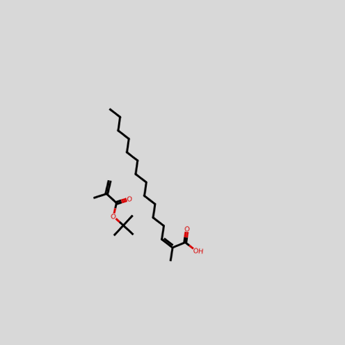 C=C(C)C(=O)OC(C)(C)C.CCCCCCCCCCCCC=C(C)C(=O)O